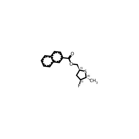 C[C@H]1S[C@H](COC(=O)c2ccc3ccccc3c2)C[C@@H]1F